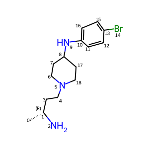 C[C@@H](N)CCN1CCC(Nc2ccc(Br)cc2)CC1